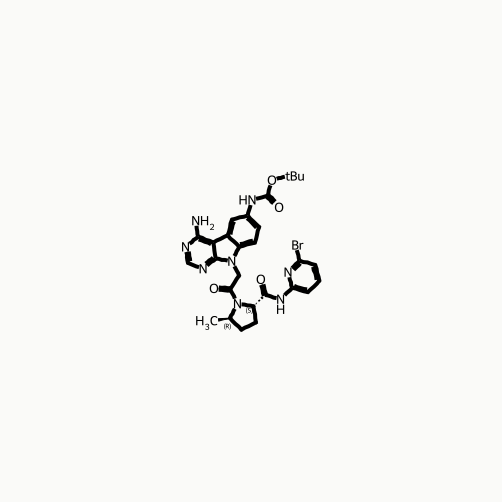 C[C@@H]1CC[C@@H](C(=O)Nc2cccc(Br)n2)N1C(=O)Cn1c2ccc(NC(=O)OC(C)(C)C)cc2c2c(N)ncnc21